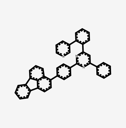 c1ccc(-c2cc(-c3ccccc3-c3cccnc3)nc(-c3ccc(-c4ccc5c6c(cccc46)-c4ccccc4-5)cc3)n2)cc1